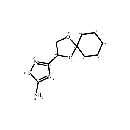 Nc1nc(C2COC3(CCCCC3)O2)ns1